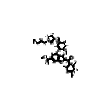 COC(=O)c1ccc2c(Oc3ccc(O[C@H]4CCN(CCCF)C4)cc3)c(C(=O)c3c(C)cc(F)cc3C)sc2c1